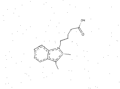 Cc1c(C)n(CCCC(=O)O)c2ccccc12